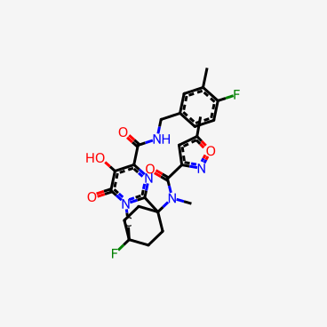 Cc1cc(C(=O)N(C)C23CCC(F)(CC2)Cn2c3nc(C(=O)NCc3ccc(F)c(C)c3)c(O)c2=O)no1